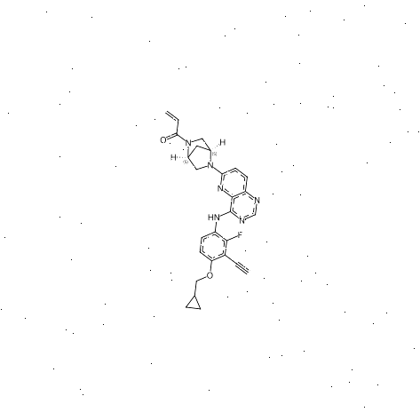 C#Cc1c(OCC2CC2)ccc(Nc2ncnc3ccc(N4C[C@@H]5C[C@H]4CN5C(=O)C=C)nc23)c1F